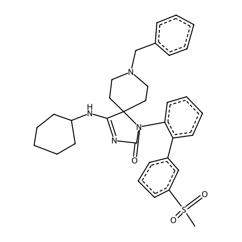 CS(=O)(=O)c1cccc(-c2ccccc2N2C(=O)N=C(NC3CCCCC3)C23CCN(Cc2ccccc2)CC3)c1